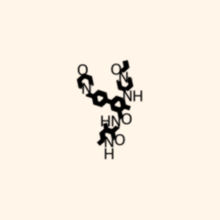 C=CC(=O)N1CCC(Nc2cc(-c3ccc(CN4CCC(=O)CC4)cc3)cc(C(=O)NCc3c(C)cc(C)[nH]c3=O)c2C)CC1